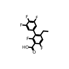 CCc1cc(F)c(C(=O)O)c(F)c1-c1cc(F)c(F)c(F)c1